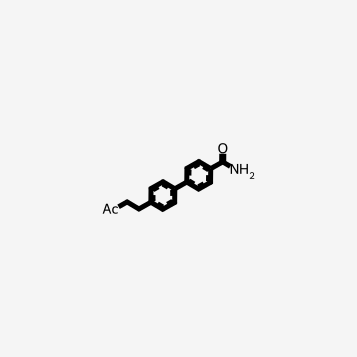 CC(=O)CCc1ccc(-c2ccc(C(N)=O)cc2)cc1